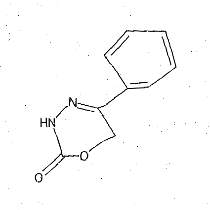 O=C1NN=C(c2ccccc2)CO1